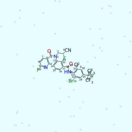 N#CCCN(C(=O)c1ccc(F)nc1)c1cccc(C(=O)Nc2c(Br)cc(C(F)(C(F)(F)F)C(F)(F)F)cc2C(F)(F)F)c1F